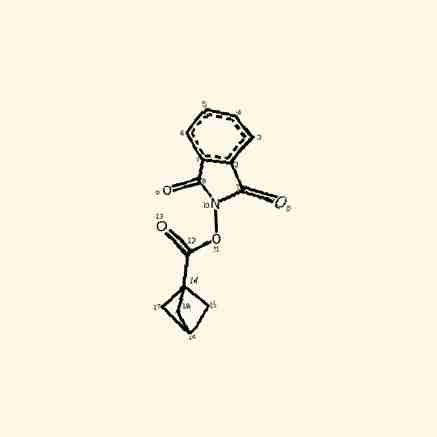 O=C1c2ccccc2C(=O)N1OC(=O)C12CC(C1)C2